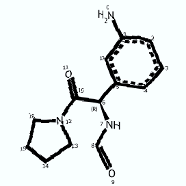 Nc1cccc([C@@H](NC=O)C(=O)N2CCCC2)c1